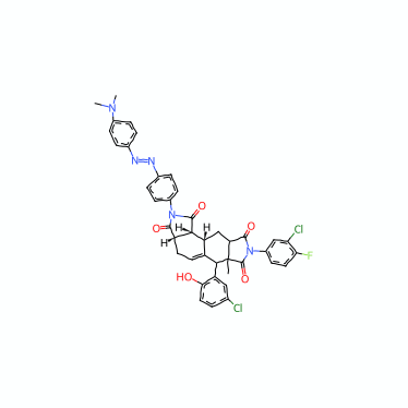 CN(C)c1ccc(/N=N/c2ccc(N3C(=O)[C@H]4[C@H](CC=C5C(c6cc(Cl)ccc6O)C6(C)C(=O)N(c7ccc(F)c(Cl)c7)C(=O)C6C[C@H]54)C3=O)cc2)cc1